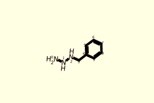 NNNCc1ccccc1